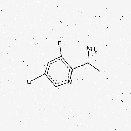 CC(N)c1ncc(Cl)cc1F